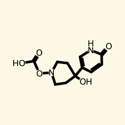 O=C(O)ON1CCC(O)(c2ccc(=O)[nH]c2)CC1